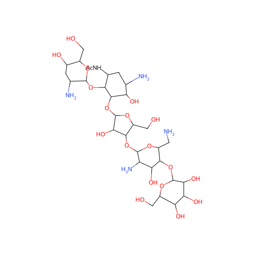 CC(=O)NC1CC(N)C(O)C(OC2OC(CO)C(OC3OC(CN)C(OC4OC(CO)C(O)C(O)C4O)C(O)C3N)C2O)C1OC1OC(CO)C(O)CC1N